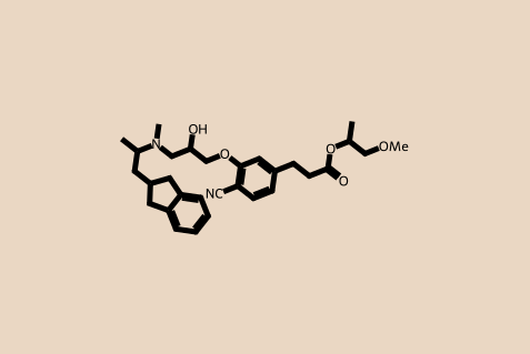 COCC(C)OC(=O)CCc1ccc(C#N)c(OCC(O)CN(C)C(C)CC2Cc3ccccc3C2)c1